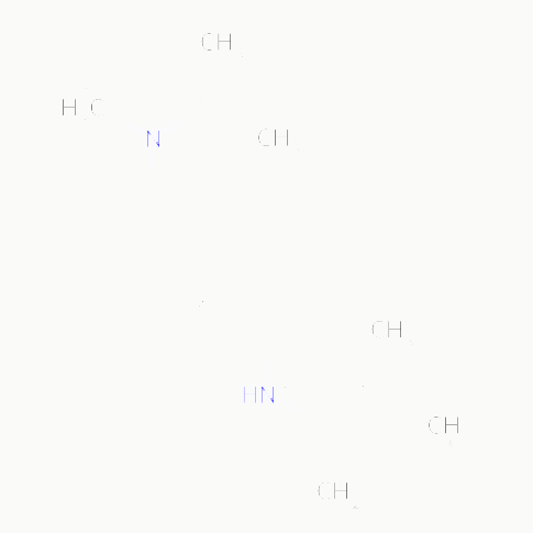 C=C(NCCCCN(C)C(C)C)C(C)C